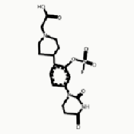 O=C(O)CN1CCC(c2ccc(N3CCC(=O)NC3=O)cc2OS(=O)(=O)F)CC1